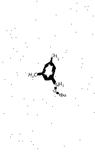 Cc1cc(C)cc([SiH2]OC(C)(C)C)c1